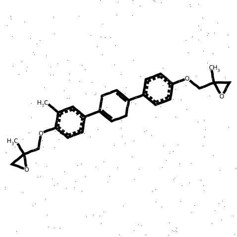 Cc1cc(C2=CCC(c3ccc(OCC4(C)CO4)cc3)=CC2)ccc1OCC1(C)CO1